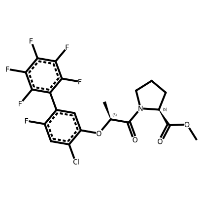 COC(=O)[C@@H]1CCCN1C(=O)[C@H](C)Oc1cc(-c2c(F)c(F)c(F)c(F)c2F)c(F)cc1Cl